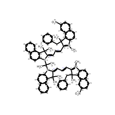 C[N+]1=C(/C=C/C=C2/N(C(C)(C)N3/C(=C/C=C/C4=[N+](C)c5ccc6ccc([N+](=O)[O-])cc6c5C4(C)Cc4ccccc4)C(C)(C)c4c3ccc3ccccc43)c3ccc4ccccc4c3C2(C)C)C(C)(Cc2ccccc2)c2c1ccc1ccc([N+](=O)[O-])cc21